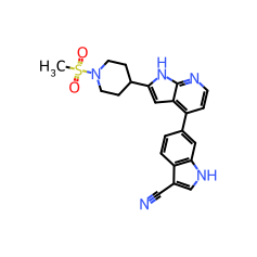 CS(=O)(=O)N1CCC(c2cc3c(-c4ccc5c(C#N)c[nH]c5c4)ccnc3[nH]2)CC1